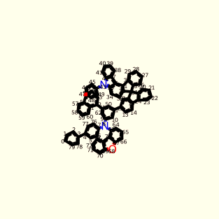 c1ccc(-c2ccc(N(c3cc(-c4ccc5c(c4)C4(c6ccccc6-5)c5ccccc5-c5c4ccc4c5c5ccccc5n4-c4ccccc4)cc(-c4cccc5ccccc45)c3)c3cccc4oc5ccccc5c34)cc2)cc1